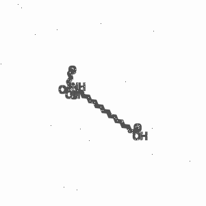 O=CCCC(NC(=O)CCCCCCCCCCCCCCCCC(=O)O)C(=O)O